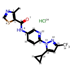 Cc1ncsc1C(=O)Nc1ccc(-n2nc(C(F)(F)F)cc2C2CC2)nc1.Cl